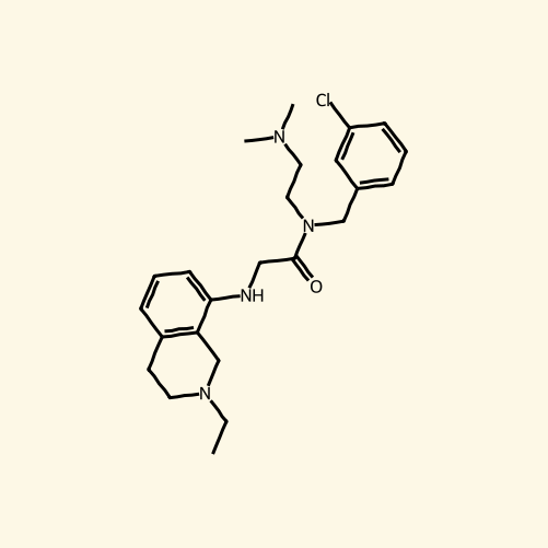 CCN1CCc2cccc(NCC(=O)N(CCN(C)C)Cc3cccc(Cl)c3)c2C1